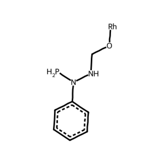 PN(NC[O][Rh])c1ccccc1